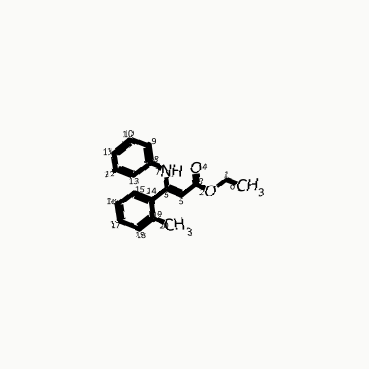 CCOC(=O)/C=C(\Nc1ccccc1)c1ccccc1C